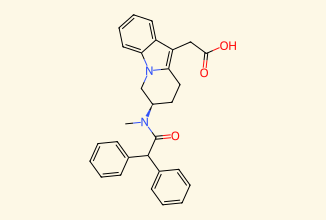 CN(C(=O)C(c1ccccc1)c1ccccc1)[C@@H]1CCc2c(CC(=O)O)c3ccccc3n2C1